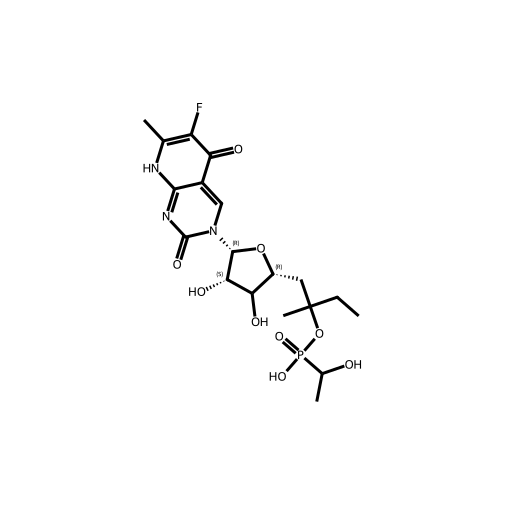 CCC(C)(C[C@H]1O[C@@H](n2cc3c(=O)c(F)c(C)[nH]c3nc2=O)[C@@H](O)C1O)OP(=O)(O)C(C)O